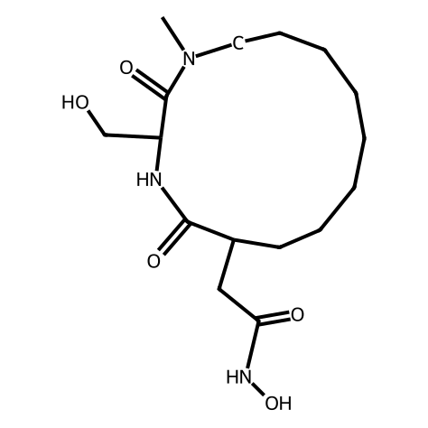 CN1CCCCCCCCC(CC(=O)NO)C(=O)NC(CO)C1=O